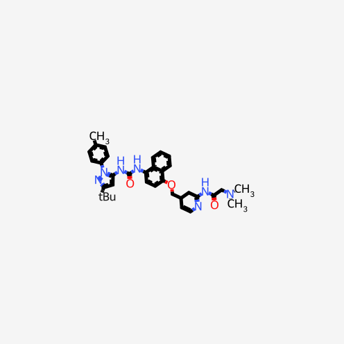 Cc1ccc(-n2nc(C(C)(C)C)cc2NC(=O)Nc2ccc(OCC3C=CN=C(NC(=O)CN(C)C)C3)c3ccccc23)cc1